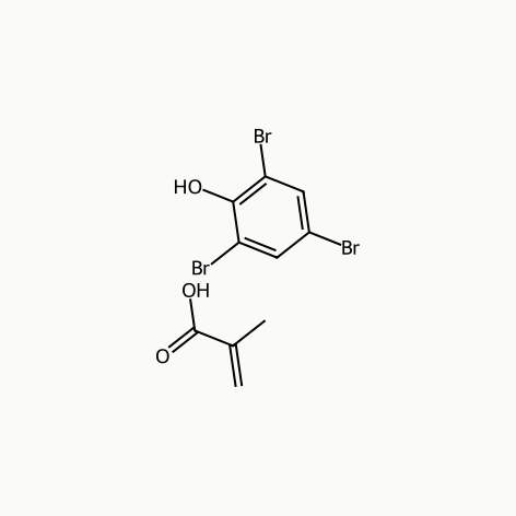 C=C(C)C(=O)O.Oc1c(Br)cc(Br)cc1Br